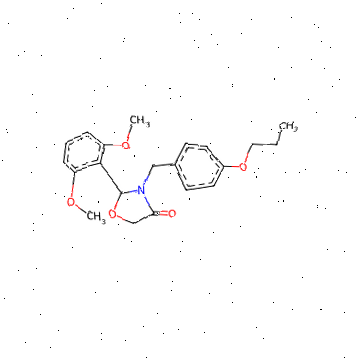 CCCOc1ccc(CN2C(=O)COC2c2c(OC)cccc2OC)cc1